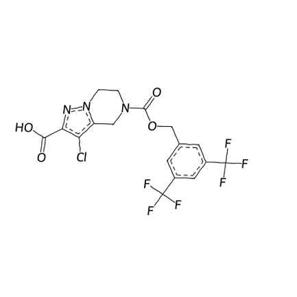 O=C(O)c1nn2c(c1Cl)CN(C(=O)OCc1cc(C(F)(F)F)cc(C(F)(F)F)c1)CC2